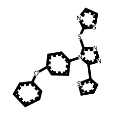 c1ccc(Oc2ccc(-n3c(Sc4nccs4)nnc3-c3cccs3)cc2)cc1